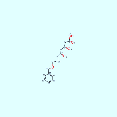 O=C(O)CC(=O)CC(=O)CCCOCc1ccccc1